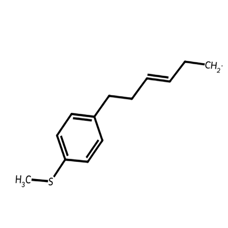 [CH2]CC=CCCc1ccc(SC)cc1